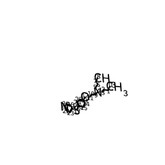 CCCCN(CCCC)CCCOc1ccc(Sc2ccncc2)cc1